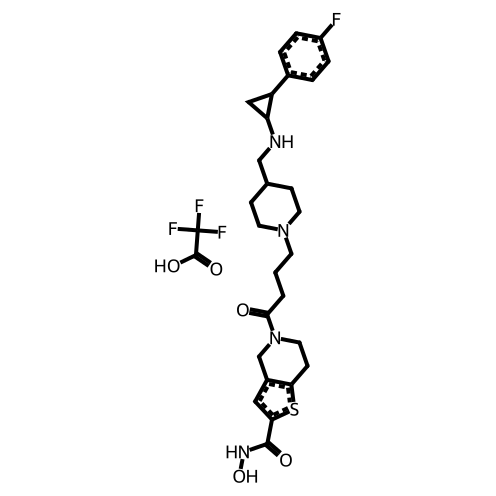 O=C(NO)c1cc2c(s1)CCN(C(=O)CCCN1CCC(CNC3CC3c3ccc(F)cc3)CC1)C2.O=C(O)C(F)(F)F